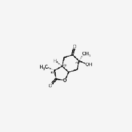 C[C@H]1C(=O)OC2C[C@](C)(O)C(=O)C[C@@H]21